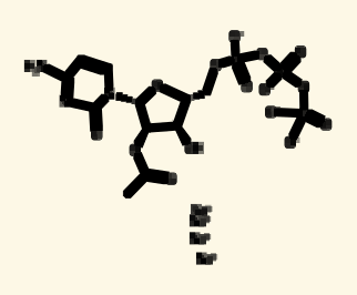 CC(=O)O[C@@H]1[C@H](O)[C@@H](COP(=O)([O-])OP(=O)([O-])OP(=O)([O-])[O-])O[C@H]1n1ccc(N)nc1=O.[Na+].[Na+].[Na+].[Na+]